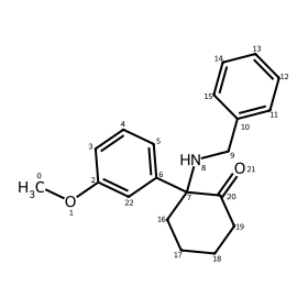 COc1cccc(C2(NCc3ccccc3)CCCCC2=O)c1